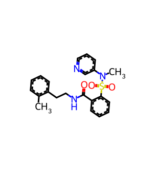 Cc1ccccc1CCNC(=O)c1ccccc1S(=O)(=O)N(C)c1cccnc1